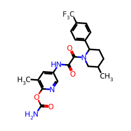 Cc1cc(NC(=O)C(=O)N2CC(C)CCC2c2ccc(C(F)(F)F)cc2)cnc1OC(N)=O